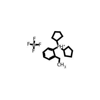 CCc1ccccc1[PH+](C1CCCC1)C1CCCC1.F[B-](F)(F)F